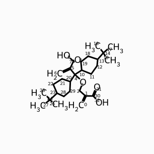 C=C(COC(C(=C)C(=O)O)(C1CCC(C(C)(C)C)CC1)C1CCC(C(C)(C)C)CC1)C(=O)O